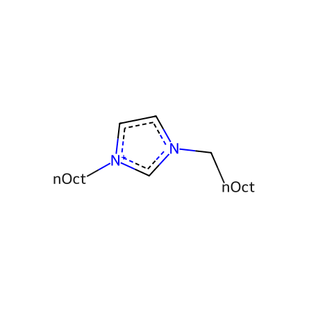 CCCCCCCCCn1cc[n+](CCCCCCCC)c1